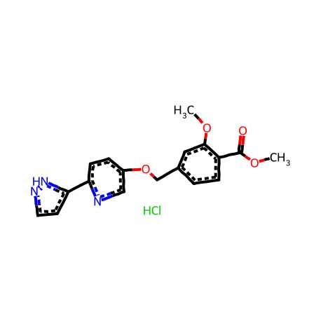 COC(=O)c1ccc(COc2ccc(-c3ccn[nH]3)nc2)cc1OC.Cl